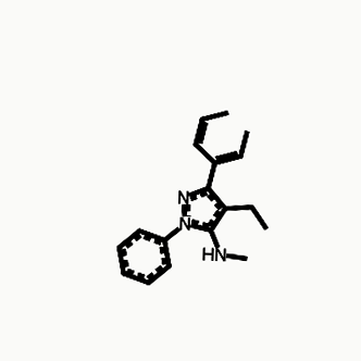 C/C=C\C(=C/C)c1nn(-c2ccccc2)c(NC)c1CC